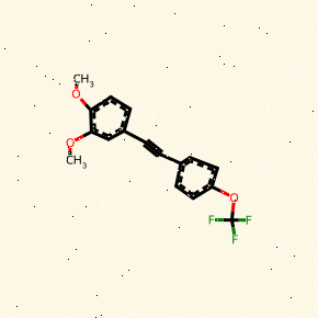 COc1ccc(C#Cc2ccc(OC(F)(F)F)cc2)cc1OC